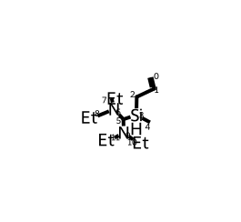 C=CC[SiH](C)C(N(CC)CC)N(CC)CC